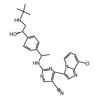 CC(Nc1ncc(C#N)c(-c2cnc3c(Cl)cccn23)n1)c1ccc([C@@H](O)CNC(C)(C)C)cc1